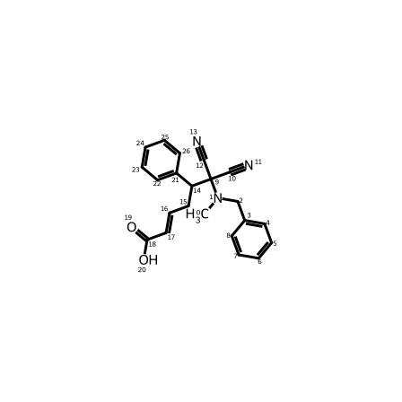 CN(Cc1ccccc1)C(C#N)(C#N)C(C/C=C/C(=O)O)c1ccccc1